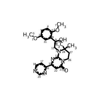 COc1ccc(OC)c(C(O)CN2c3nc(-c4ccncn4)cc(=O)n3CCC2(C)C)c1